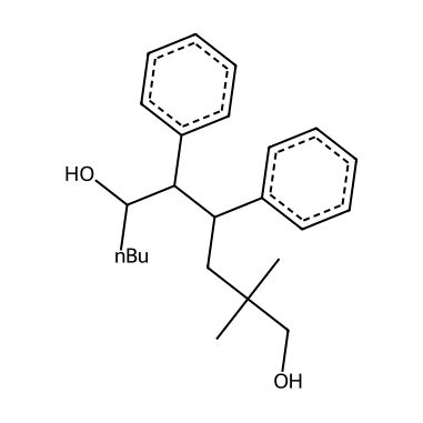 CCCCC(O)C(c1ccccc1)C(CC(C)(C)CO)c1ccccc1